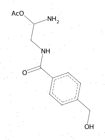 CC(=O)OC(N)CNC(=O)c1ccc(CO)cc1